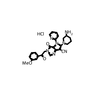 COc1cccc(C(=O)Cn2cnc3c(C#N)c(N4CCCC(N)C4)n(-c4ccccn4)c3c2=O)c1.Cl